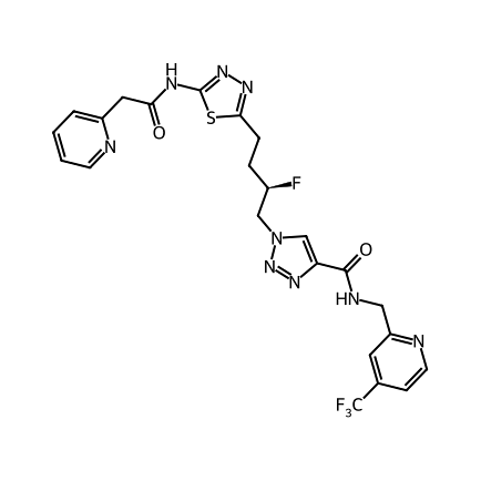 O=C(Cc1ccccn1)Nc1nnc(CC[C@@H](F)Cn2cc(C(=O)NCc3cc(C(F)(F)F)ccn3)nn2)s1